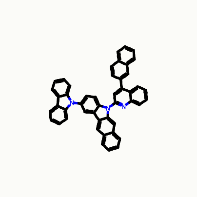 c1ccc2cc(-c3cc(-n4c5ccc(-n6c7ccccc7c7ccccc76)cc5c5cc6ccccc6cc54)nc4ccccc34)ccc2c1